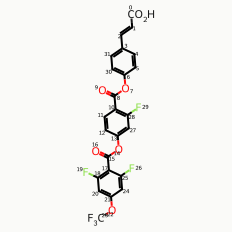 O=C(O)/C=C/c1ccc(OC(=O)c2ccc(OC(=O)c3c(F)cc(OC(F)(F)F)cc3F)cc2F)cc1